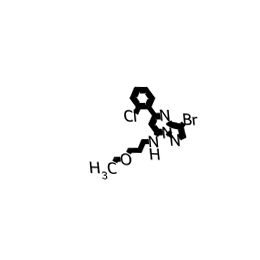 CCOCCCNc1cc(-c2ccccc2Cl)nc2c(Br)cnn12